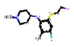 O=C(O)N1CCC(Nc2cc([N+](=O)[O-])c(F)cc2SCCI)CC1